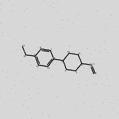 C=NC1CCC(c2ccc(CC)cc2)CC1